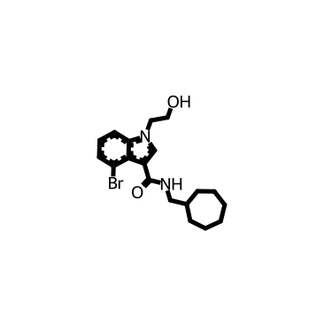 O=C(NCC1CCCCCC1)c1cn(CCO)c2cccc(Br)c12